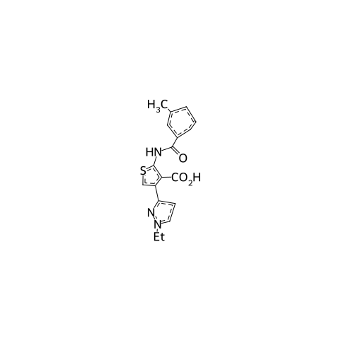 CCn1ccc(-c2csc(NC(=O)c3cccc(C)c3)c2C(=O)O)n1